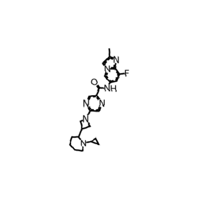 Cc1cn2cc(NC(=O)c3cnc(N4CC(C5CCCCN5C5CC5)C4)cn3)cc(F)c2n1